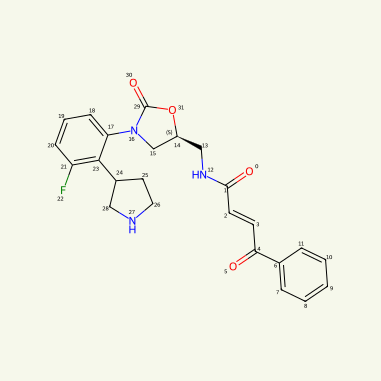 O=C(C=CC(=O)c1ccccc1)NC[C@H]1CN(c2cccc(F)c2C2CCNC2)C(=O)O1